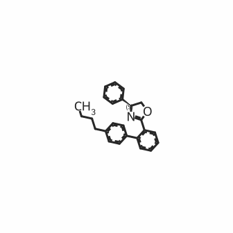 CCCCc1ccc(-c2ccccc2C2=N[C@@H](c3ccccc3)CO2)cc1